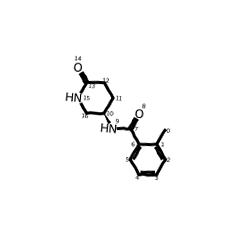 Cc1ccccc1C(=O)N[C@@H]1CCC(=O)NC1